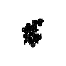 COc1cnc(-c2nn(Cc3c(F)cc(OCCOC(=O)C(C)NC(=O)[C@H](CCCCNC(=O)OC(C)(C)C)NC(=O)OC(C)(C)C)cc3F)c3ccccc23)nc1Nc1ccnc(F)c1